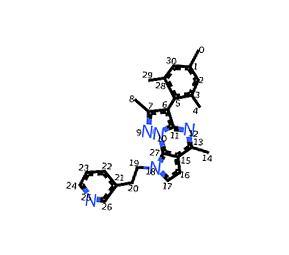 Cc1cc(C)c(-c2c(C)nn3c2nc(C)c2ccn(CCc4cccnc4)c23)c(C)c1